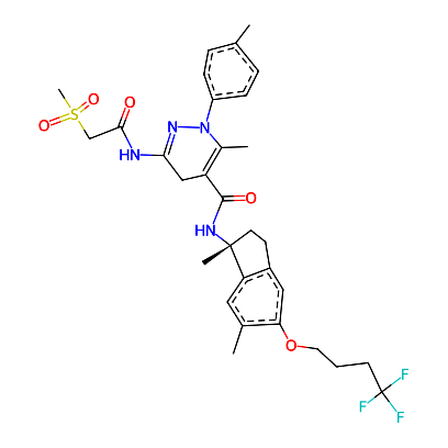 CC1=C(C(=O)N[C@]2(C)CCc3cc(OCCCC(F)(F)F)c(C)cc32)CC(NC(=O)CS(C)(=O)=O)=NN1c1ccc(C)cc1